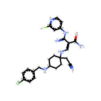 N#CCC1(N/C=C(\C(=N)Nc2ccnc(F)c2)C(N)=O)CCC(NCc2ccc(Cl)cc2)CC1